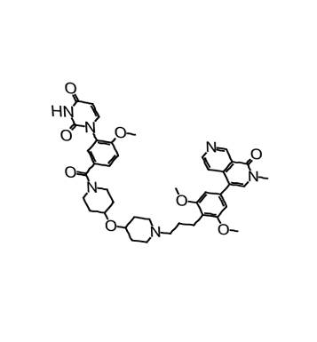 COc1ccc(C(=O)N2CCC(OC3CCN(CCCc4c(OC)cc(-c5cn(C)c(=O)c6cnccc56)cc4OC)CC3)CC2)cc1-n1ccc(=O)[nH]c1=O